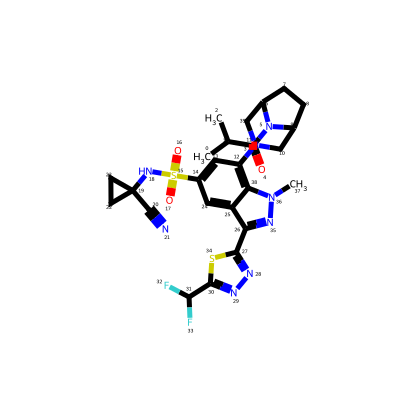 CC(C)C(=O)N1C2CCC1CN(c1cc(S(=O)(=O)NC3(C#N)CC3)cc3c(-c4nnc(C(F)F)s4)nn(C)c13)C2